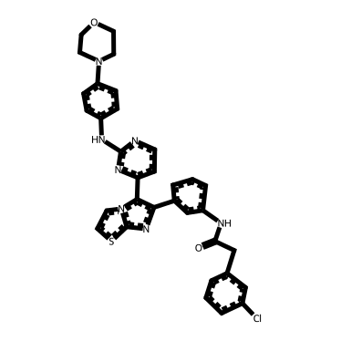 O=C(Cc1cccc(Cl)c1)Nc1cccc(-c2nc3sccn3c2-c2ccnc(Nc3ccc(N4CCOCC4)cc3)n2)c1